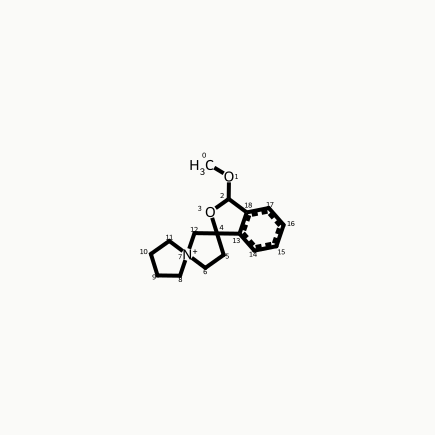 COC1OC2(CC[N+]3(CCCC3)C2)c2ccccc21